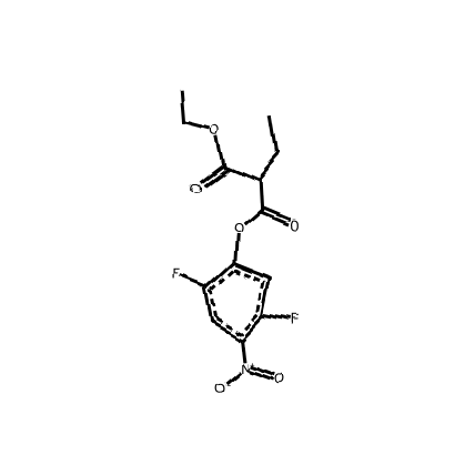 CCOC(=O)C(CC)C(=O)Oc1cc(F)c([N+](=O)[O-])cc1F